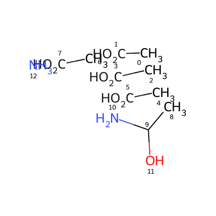 CC(=O)O.CC(=O)O.CC(=O)O.CC(=O)O.CC(N)O.N